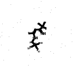 C/C(=C/C(=N)C(C)(C)C)NCC(F)(F)F